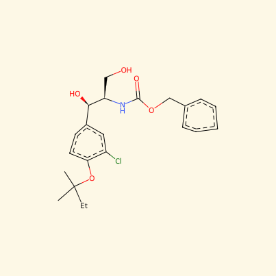 CCC(C)(C)Oc1ccc([C@@H](O)[C@@H](CO)NC(=O)OCc2ccccc2)cc1Cl